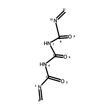 C=NC(=O)NC(=O)NC(=O)N=C